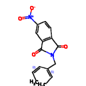 C/C=C\C(=C/C)CN1C(=O)c2ccc([N+](=O)[O-])cc2C1=O